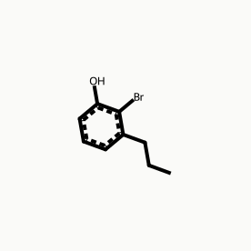 CCCc1cccc(O)c1Br